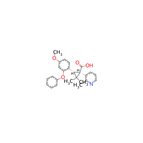 COc1ccc([C@H]2C(C)(C)[C@@]2(C(=O)O)c2cccnc2C)c(Oc2ccccc2)c1